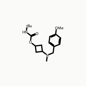 COc1ccc(CN(C)C2CC(OC(=O)NC(C)(C)C)C2)cc1